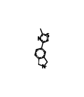 Cc1nc(-c2ccc3c(c2)C[N]C3)cs1